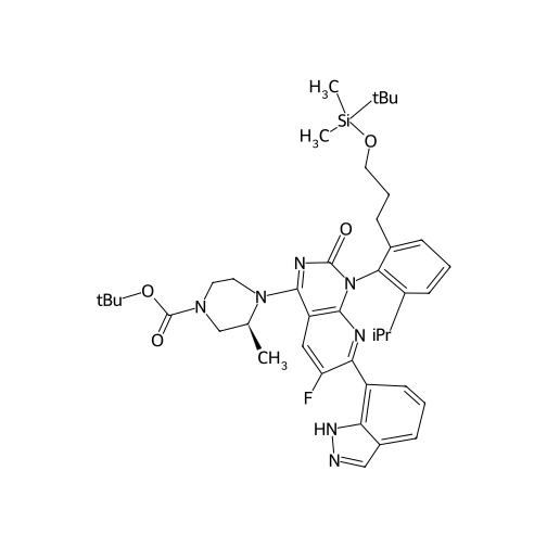 CC(C)c1cccc(CCCO[Si](C)(C)C(C)(C)C)c1-n1c(=O)nc(N2CCN(C(=O)OC(C)(C)C)C[C@@H]2C)c2cc(F)c(-c3cccc4cn[nH]c34)nc21